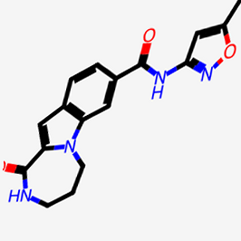 Cc1cc(NC(=O)c2ccc3cc4n(c3c2)CCCNC4=O)no1